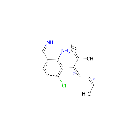 C=C(C)/C(=C\C=C/C)c1c(Cl)ccc(C=N)c1N